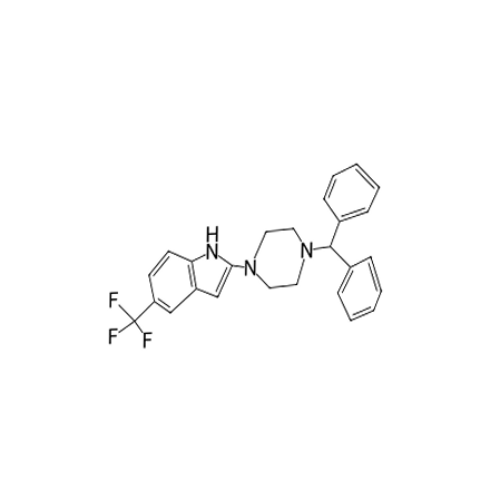 FC(F)(F)c1ccc2[nH]c(N3CCN(C(c4ccccc4)c4ccccc4)CC3)cc2c1